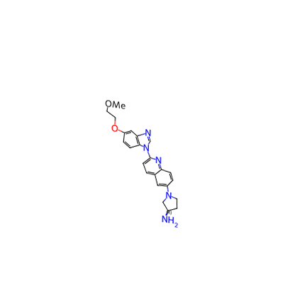 COCCOc1ccc2c(c1)ncn2-c1ccc2cc(N3CC[C@@H](N)C3)ccc2n1